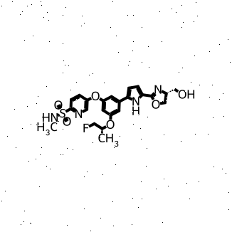 CNS(=O)(=O)c1ccc(Oc2cc(O[C@@H](C)CF)cc(-c3ccc(C4=N[C@H](CO)CO4)[nH]3)c2)cn1